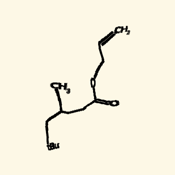 C=CCOC(=O)CC(C)CC(C)(C)C